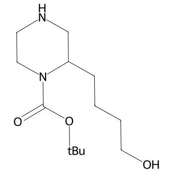 CC(C)(C)OC(=O)N1CCNCC1CCCCO